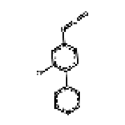 S=C=Nc1ccc(-c2ccccc2)c(Cl)c1